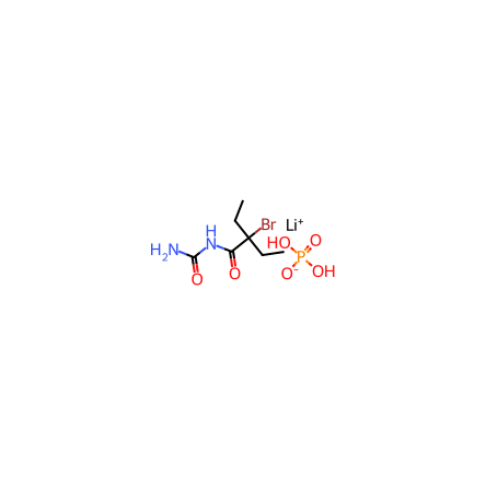 CCC(Br)(CC)C(=O)NC(N)=O.O=P([O-])(O)O.[Li+]